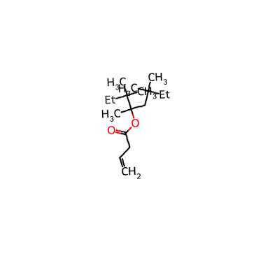 C=CCC(=O)OC(C)(CC(C)(C)CC)C(C)(C)CC